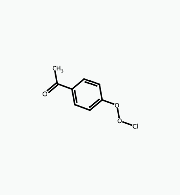 CC(=O)c1ccc(OOCl)cc1